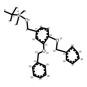 CC(C)(C)[Si](C)(C)OCc1ccc(OCc2ccccc2)c(OCc2ccccc2)c1